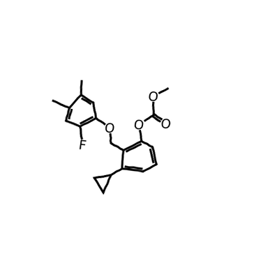 COC(=O)Oc1cccc(C2CC2)c1COc1cc(C)c(C)cc1F